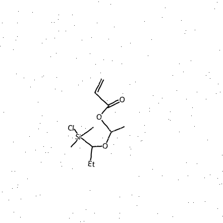 C=CC(=O)OC(C)OC(CC)[Si](C)(C)Cl